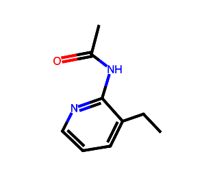 CCc1cccnc1NC(C)=O